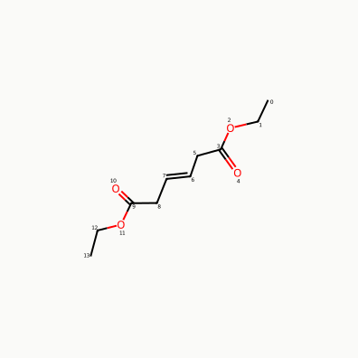 CCOC(=O)C/C=C/CC(=O)OCC